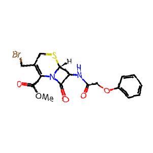 COC(=O)C1=C(CBr)CS[C@@H]2C(NC(=O)COc3ccccc3)C(=O)N12